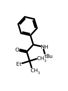 CCC(C)(C)C(=O)C(NC(C)(C)C)c1ccccc1